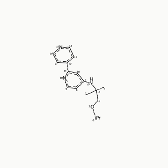 CC(C)OCC(C)(C)Nc1ccnc(-c2ccncc2)c1